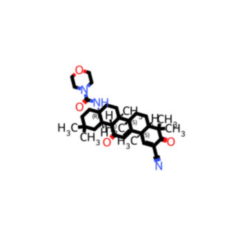 CC1(C)CC[C@@]2(NC(=O)N3CCOCC3)CC[C@]3(C)[C@H](C(=O)C=C4[C@]5(C)C=C(C#N)C(=O)C(C)(C)[C@@H]5CC[C@]43C)[C@H]2C1